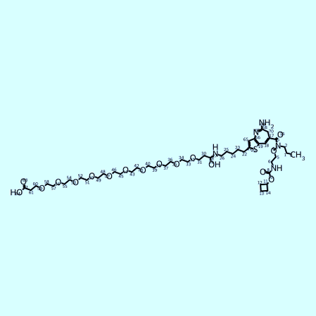 CCCN(OCCNC(=O)OC1CCC1)C(=O)C1=Cc2sc(CCCCCNC(O)CCOCCOCCOCCOCCOCCOCCOCCOCCOCCOCCC(=O)O)cc2N=C(N)C1